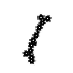 CC1(C)c2cc(-c3ccc(/C=C/c4ccc(-c5ccc6c(c5)c5ccccc5n6-c5ccccc5)cc4)cc3)ccc2-c2ccc(-c3ccc4c(c3)c3ccccc3n4-c3ccc4ccccc4c3)cc21